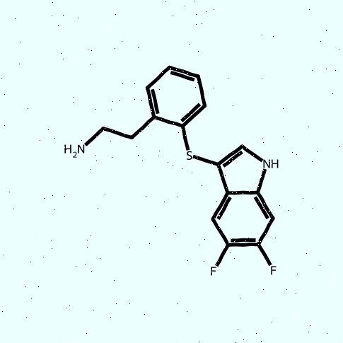 NCCc1ccccc1Sc1c[nH]c2cc(F)c(F)cc12